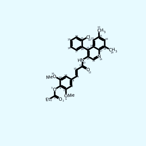 CCC(=O)Oc1c(OC)cc(C=CC(=O)Nc2cnc3c(C)cc(C)cc3c2-c2ccccc2Cl)cc1OC